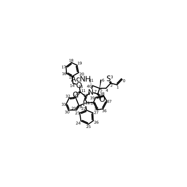 C=CC(=S)C[C@]1(C)C(=O)N(C(C(=O)OCc2ccccc2)=P(c2ccccc2)(c2ccccc2)c2ccccc2)[C@@H]1NC(C)=O